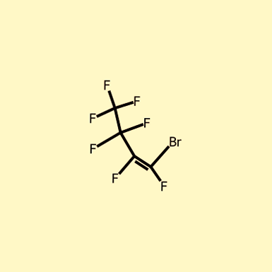 FC(Br)=C(F)C(F)(F)C(F)(F)F